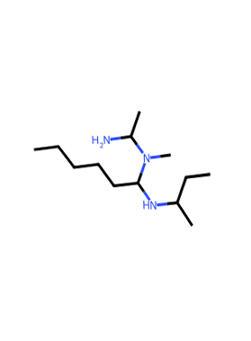 CCCCCC(NC(C)CC)N(C)C(C)N